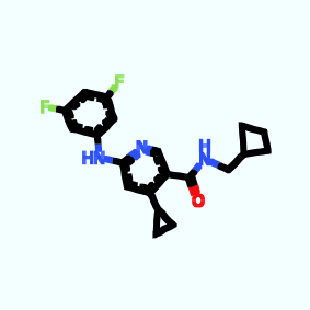 O=C(NCC1CCC1)c1cnc(Nc2cc(F)cc(F)c2)cc1C1CC1